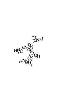 N=C(N)NCCCN(CC(=O)O)C(=O)CN(CCC1=CNC2=CC=CCC12)C(=O)CNCCc1ncc[nH]1